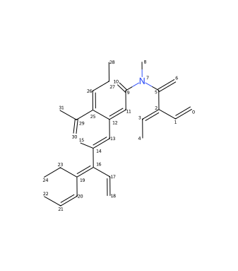 C=C/C(=C\C)C(=C)N(C)C(=C)/C=C(/C=C(C)/C(C=C)=C(/C=C\C)CC)C(=C/CC)\C(=C)C